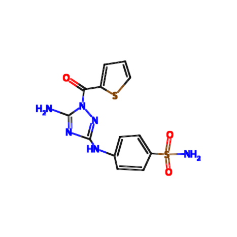 Nc1nc(Nc2ccc(S(N)(=O)=O)cc2)nn1C(=O)c1cccs1